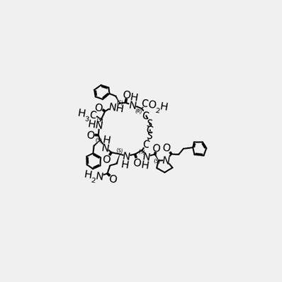 C[C@@H]1NC(=O)[C@H](Cc2ccccc2)NC(=O)[C@H](CCC(N)=O)NC(=O)[C@H](NC(=O)[C@@H]2CCCN2C(=O)CCc2ccccc2)CSCSC[C@@H](C(=O)O)NC(=O)[C@H](Cc2ccccc2)NC1=O